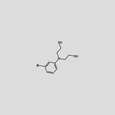 OCCN(CCO)c1cccc(Br)c1